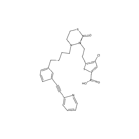 O=C(O)c1cc(Cl)c(CCN2C(=O)SCCN2CCCCc2cccc(C#Cc3ccccn3)c2)s1